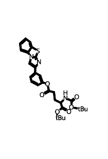 CC(C)(C)OC(=O)NC(CCC(=O)Oc1cccc(-c2cn3c(n2)sc2ccccc23)c1)C(=O)OC(C)(C)C